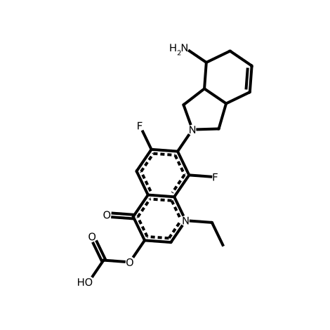 CCn1cc(OC(=O)O)c(=O)c2cc(F)c(N3CC4C=CCC(N)C4C3)c(F)c21